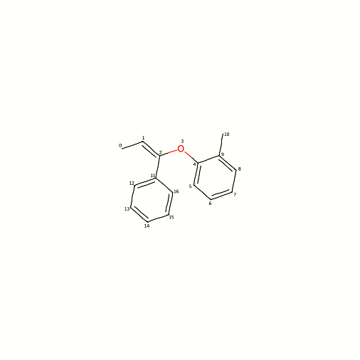 CC=C(Oc1ccccc1C)c1ccccc1